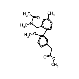 COC(=O)Cc1ccc(OC)c(-c2ccc(C)cc2CN(C)C(C)=O)c1